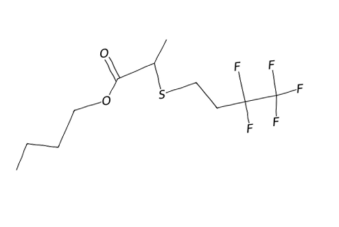 CCCCOC(=O)C(C)SCCC(F)(F)C(F)(F)F